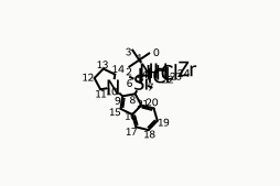 CC(C)(C)N[Si](C)(C)C1C(N2CCCC2)=Cc2ccccc21.Cl.Cl.[Zr]